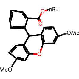 CCCCOC(=O)c1ccccc1C1c2ccc(OC)cc2Oc2cc(OC)ccc21